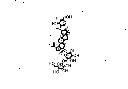 C=C(C)[C@@H]1CC[C@]2(C(=O)O[C@@H]3O[C@H](CO[C@@H]4O[C@H](CO)[C@@H](O)[C@H](O)[C@H]4O)[C@@H](O)[C@H](O)[C@H]3O)CC[C@]3(C)[C@H](CC[C@@H]4[C@@]5(C)CC[C@H](O[C@@H]6O[C@H](CO)[C@@H](O)[C@H](O)[C@H]6O)C(C)(C)[C@@H]5CC[C@]43C)[C@@H]12